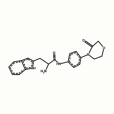 NC(Cc1cc2ccccc2[nH]1)C(=O)Nc1ccc(N2CCOCC2=O)cc1